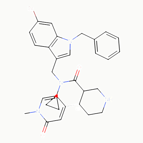 Cn1ccc([C@H]2CCNCC2C(=O)N(Cc2cn(Cc3ccccc3)c3cc(Br)ccc23)C2CC2)cc1=O